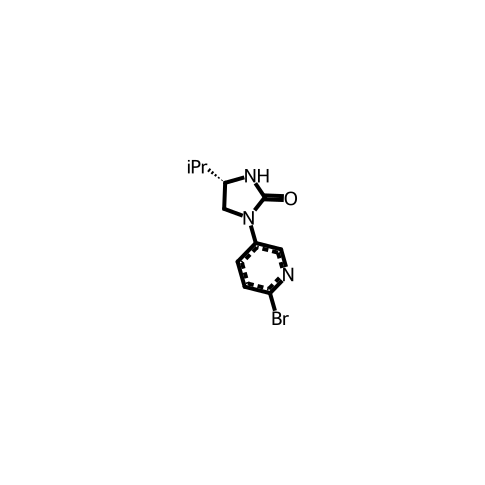 CC(C)[C@H]1CN(c2ccc(Br)nc2)C(=O)N1